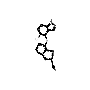 Cc1ccc2[nH]ncc2c1Oc1cccc2cc(C#N)cnc12